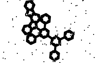 c1ccc(-c2cc(-c3nc(-c4ccncc4)nc(-c4ccncc4)n3)cc(-c3ccccc3)c2-n2c3ccccc3c3c4oc5ccccc5c4ccc32)cc1